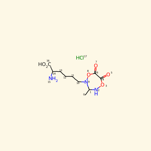 CC1NOC(=O)C(=O)ON1CCCCC(N)C(=O)O.Cl